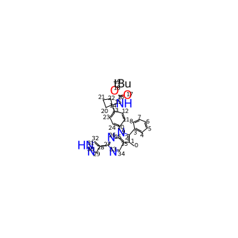 Cc1c(-c2ccccc2)n(-c2ccc(C3(NC(=O)OC(C)(C)C)CCC3)cc2)c2nc(-c3cn[nH]c3)ncc12